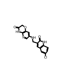 O=C1COc2cc(NCc3cc4cc(Cl)ccc4[nH]c3=O)cnc2N1